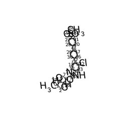 C[C@@H]1CO[C@H]2[C@@H]1OC[C@H]2Oc1nc2cc(-c3ccc(-c4ccc(S(C)(=O)=O)cc4)cc3)c(Cl)cc2[nH]1